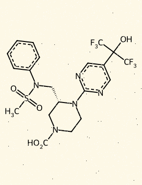 CS(=O)(=O)N(C[C@H]1CN(C(=O)O)CCN1c1ncc(C(O)(C(F)(F)F)C(F)(F)F)cn1)c1ccccc1